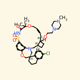 CN1CCN(CCO[C@H]2C=CCOC(C)(C)C(=O)NS(=O)(=O)c3ccc4c(c3)N(C[C@@H]3CC[C@H]32)C[C@@]2(CCCc3cc(Cl)ccc32)CO4)CC1